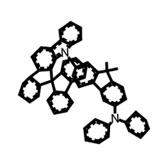 CC1(C)c2ccc(N(c3ccccc3)c3ccccc3)cc2-c2ccc(-n3c4ccccc4c4ccc5c(c43)C3(c4ccccc4-c4ccccc43)c3ccccc3-5)cc21